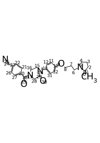 C[C@H]1CCCN1CCCOc1ccc(N2CCN(C(=O)c3ccc(C#N)cc3)CC2=O)cc1